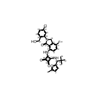 Cc1ccc([C@H](Nc2c(Nc3ccc(F)c4c3C(=O)N(c3cc(Cl)ccc3CO)C4)c(=O)c2=O)C(C)(C)C)o1